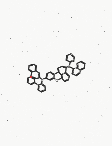 c1ccc(B(c2cccc3ccccc23)c2ccc3c4c(cccc24)Oc2cc(N(c4ccc5ccccc5c4)c4ccccc4-c4ccccc4)ccc2-3)cc1